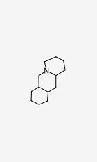 C1CCC2CN3CCCCC3CC2C1